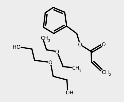 C=CC(=O)OCc1ccccc1.CCOCC.OCCOCCO